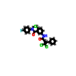 CN(C(=O)c1cc(NC(=O)C2C(c3ccccc3)C2(Cl)Cl)ccc1Cl)c1ccc(F)cc1